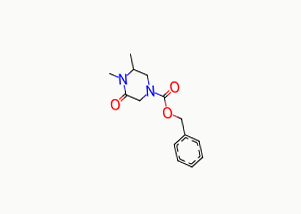 CC1CN(C(=O)OCc2ccccc2)CC(=O)N1C